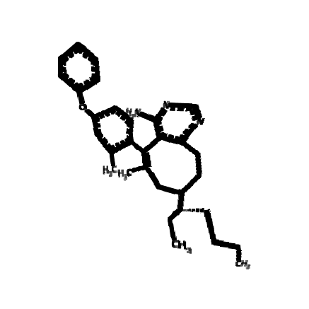 CCCC[C@H](CC)C1CCc2ncnc(N)c2/C(c2ccc(Oc3ccccc3)cc2C)=C(/C)C1